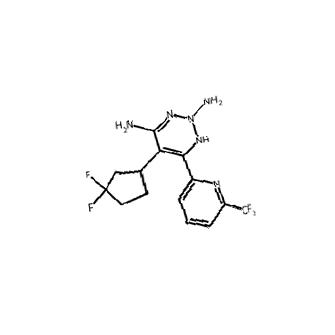 NC1=NN(N)NC(c2cccc(C(F)(F)F)n2)=C1C1CCC(F)(F)C1